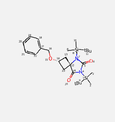 CC(C)(C)[Si](C)(C)N1C(=O)N([Si](C)(C)C(C)(C)C)[C@]2(C[C@@H](OCc3ccccc3)C2)C1=O